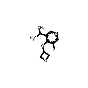 CC(C)c1cncc(F)c1OC1COC1